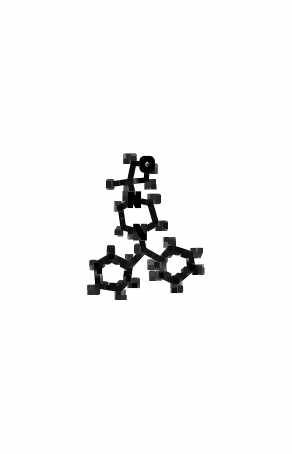 CC1(N2CCN(C(c3ccccc3)c3ccccc3)CC2)COC1